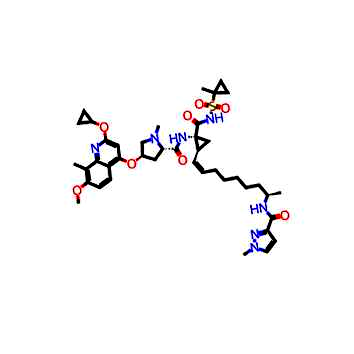 COc1ccc2c(O[C@@H]3C[C@@H](C(=O)N[C@]4(C(=O)NS(=O)(=O)C5(C)CC5)C[C@H]4/C=C\CCCCC[C@@H](C)NC(=O)c4ccn(C)n4)N(C)C3)cc(OC3CC3)nc2c1C